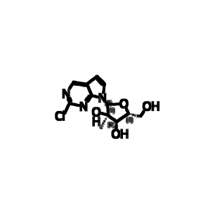 C[C@@]1(O)[C@H](O)[C@@H](CO)O[C@H]1n1ccc2cnc(Cl)nc21